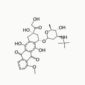 COc1cccc2c1C(=O)c1c(O)c3c(c(O)c1C2=O)C[C@@](O)(C(=O)CO)C[C@@H]3OC1C[C@H](NC(C)(C)C)[C@@H](O)[C@H](C)O1